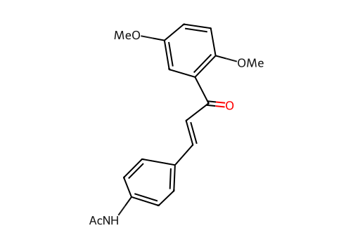 COc1ccc(OC)c(C(=O)/C=C/c2ccc(NC(C)=O)cc2)c1